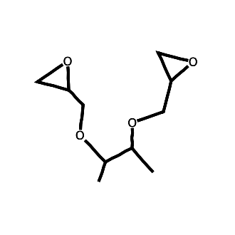 CC(OCC1CO1)C(C)OCC1CO1